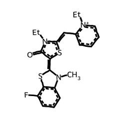 CCn1c(=O)/c(=C2\Sc3c(F)cccc3N2C)s/c1=C\c1cccc[n+]1CC